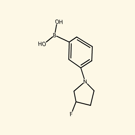 OB(O)c1cccc(N2CCC(F)C2)c1